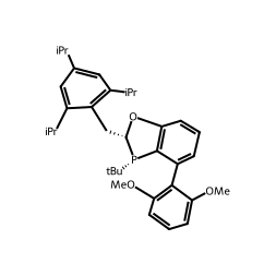 COc1cccc(OC)c1-c1cccc2c1[P@](C(C)(C)C)[C@H](Cc1c(C(C)C)cc(C(C)C)cc1C(C)C)O2